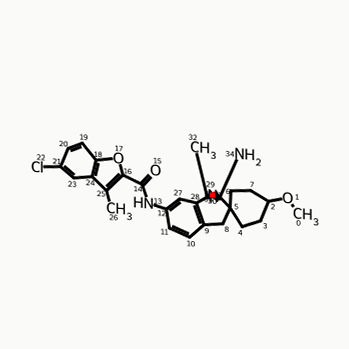 COC1CCC2(CC1)Cc1ccc(NC(=O)c3oc4ccc(Cl)cc4c3C)cc1C21N=C(C)C(N)=N1